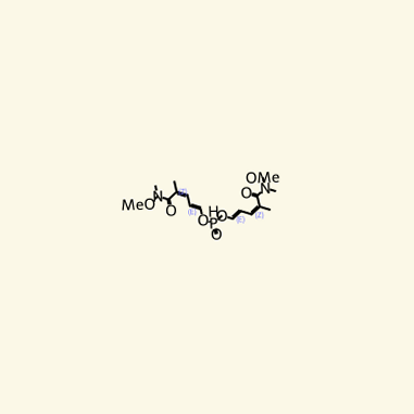 CON(C)C(=O)/C(C)=C\C=C\O[PH](=O)O/C=C/C=C(/C)C(=O)N(C)OC